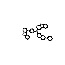 c1ccc(-c2ccc3ccc(N(c4ccc(-c5ccnc6oc7ccccc7c56)cc4)c4cnc5oc6ccccc6c5c4)cc3c2)cc1